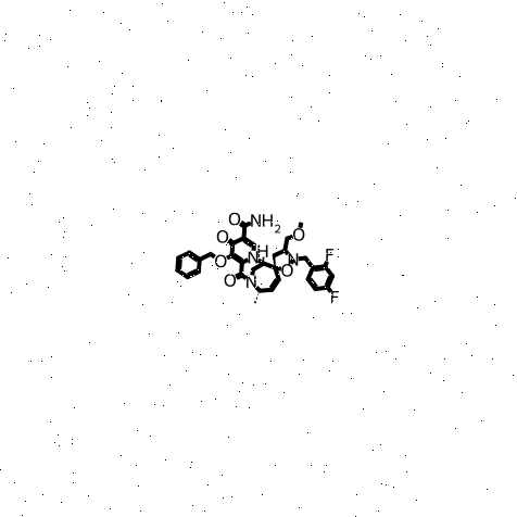 COCC1C[C@]2(C=C[C@H](C)N3C[C@H]2n2cc(C(N)=O)c(=O)c(OCc4ccccc4)c2C3=O)ON1Cc1ccc(F)cc1F